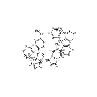 CCOc1ccc(C(OC(CC(C)CO)n2cnc3cnc(NC(c4ccccc4)(c4ccccc4)c4ccccc4OC)nc32)(c2ccccc2)c2ccccc2)cc1